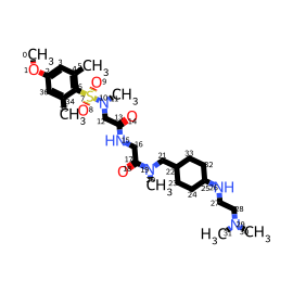 COc1cc(C)c(S(=O)(=O)N(C)CC(=O)NCC(=O)N(C)CC2CCC(NCCN(C)C)CC2)c(C)c1